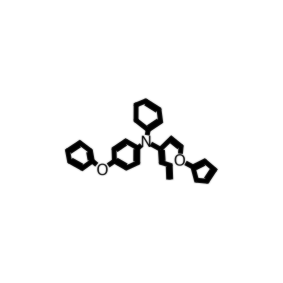 C=C/C=C(\C=C/OC1=CC=CC1)N(C1=CC=CCC1)c1ccc(Oc2ccccc2)cc1